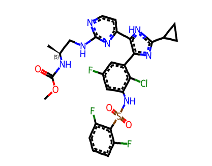 COC(=O)N[C@@H](C)CNc1nccc(-c2[nH]c(C3CC3)nc2-c2cc(F)cc(NS(=O)(=O)c3c(F)cccc3F)c2Cl)n1